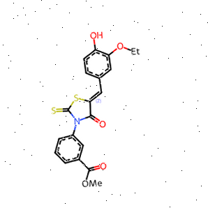 CCOc1cc(/C=C2\SC(=S)N(c3cccc(C(=O)OC)c3)C2=O)ccc1O